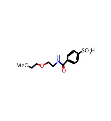 COCCOCCNC(=O)c1ccc(S(=O)(=O)O)cc1